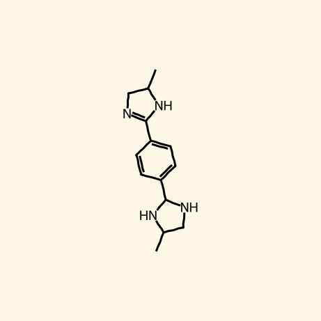 CC1CN=C(c2ccc(C3NCC(C)N3)cc2)N1